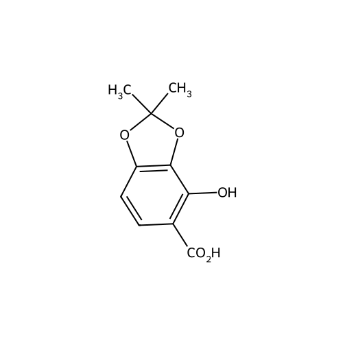 CC1(C)Oc2ccc(C(=O)O)c(O)c2O1